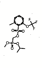 COP(=O)(COS(=O)(=O)c1c(C)cccc1OC(F)(F)F)OC(C)C